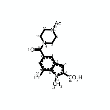 CC(=O)N1CCN(C(=O)c2cc(C(C)C)c3c(c2)cc(C(=O)O)n3C)CC1